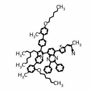 CCCCCCOc1ccc(-c2ccc(-c3c(CC(CC)CCCC)c4cc(-c5ccc(C)cc5OCCCCCC)ccn4c3-c3ccc(-c4ccc(/C=C(/C)C#N)s4)c4nc(-c5ccccc5)c(-c5ccccc5)nc34)cc2)c(C)c1